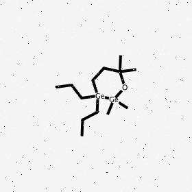 CC[CH2][Ge]1([CH2]CC)[CH2]CC(C)(C)[O][Ge]1([CH3])[CH3]